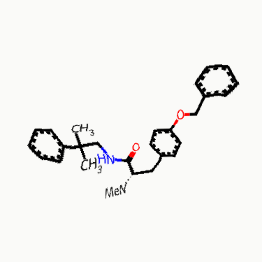 CN[C@@H](Cc1ccc(OCc2ccccc2)cc1)C(=O)NCC(C)(C)c1ccccc1